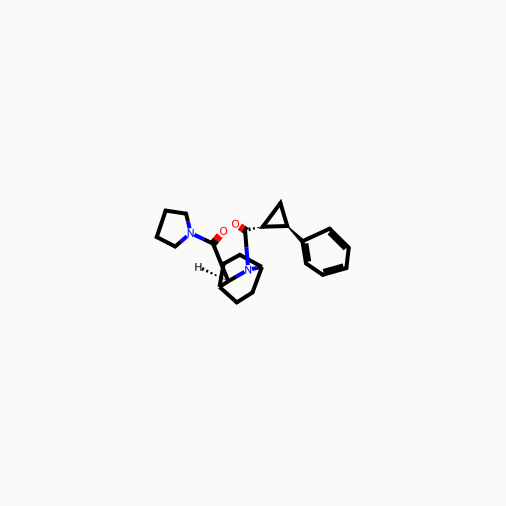 O=C([C@@H]1C2CCC(CC2)N1C(=O)[C@@H]1C[C@H]1c1ccccc1)N1CCCC1